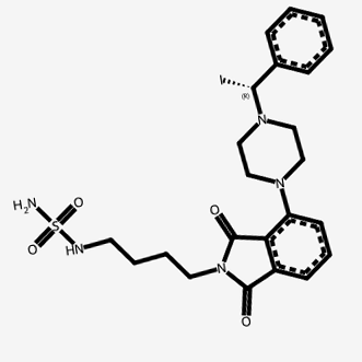 NS(=O)(=O)NCCCCN1C(=O)c2cccc(N3CCN([C@H](I)c4ccccc4)CC3)c2C1=O